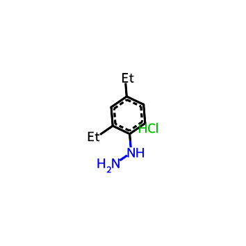 CCc1ccc(NN)c(CC)c1.Cl